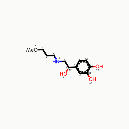 COCCCNC[C@H](O)c1ccc(O)c(O)c1